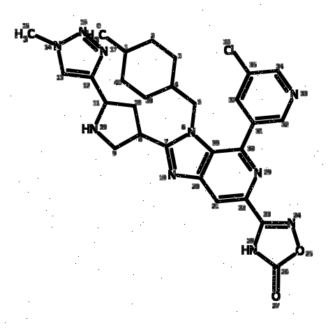 CC1CCC(Cn2c(C3CNC(c4cn(C)nn4)C3)nc3cc(-c4noc(=O)[nH]4)nc(-c4cncc(Cl)c4)c32)CC1